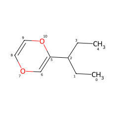 CCC(CC)C1=COC=CO1